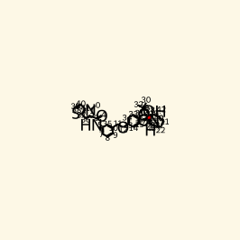 Cn1c(C(=O)Nc2cccc(COc3ccc(OC4C[C@H]5CC[C@@H](C4)N5C(=O)OC(C)(C)C)cc3)c2)cc2sccc21